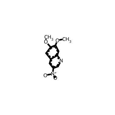 COc1cc2cc([N+](=O)[O-])cnc2cc1OC